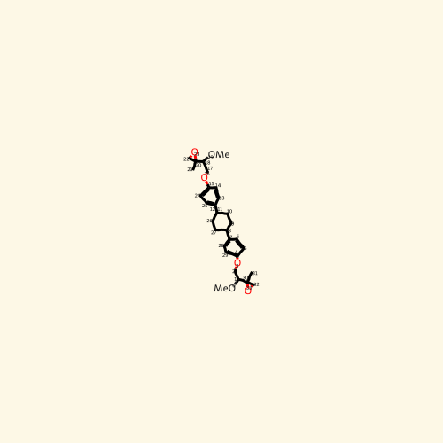 COC(COc1ccc(C2CCC(c3ccc(OCC(OC)C4(C)CO4)cc3)CC2)cc1)C1(C)CO1